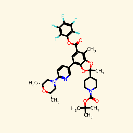 Cc1c(C(=O)Oc2c(F)c(F)c(F)c(F)c2F)cc(-c2ccc(N3C[C@@H](C)O[C@@H](C)C3)nc2)c2c1OC(C)(C1CCN(C(=O)OC(C)(C)C)CC1)O2